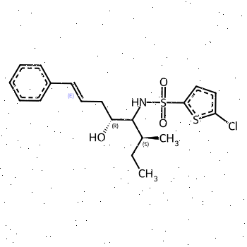 CC[C@H](C)C(NS(=O)(=O)c1ccc(Cl)s1)[C@H](O)C/C=C/c1ccccc1